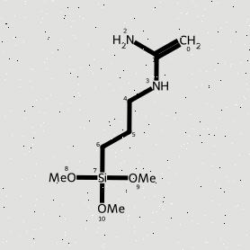 C=C(N)NCCC[Si](OC)(OC)OC